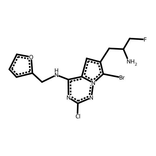 NC(CF)Cc1cc2c(NCc3ccco3)nc(Cl)nn2c1Br